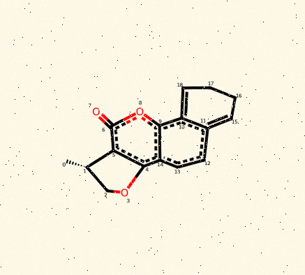 C[C@H]1COc2c1c(=O)oc1c3c(ccc21)=CCCC=3